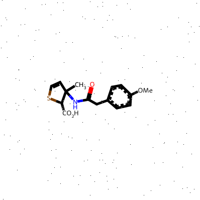 COc1ccc(CC(=O)NC2(C)C=CSC2C(=O)O)cc1